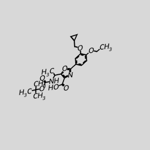 CCOc1ccc(-c2nc(C(=O)O)c(C(C)NC(=O)OC(C)(C)C)o2)cc1OCC1CC1